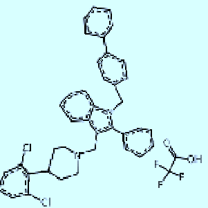 Clc1cccc(Cl)c1C1CCN(Cc2c(-c3ccccc3)n(Cc3ccc(-c4ccccc4)cc3)c3ccccc23)CC1.O=C(O)C(F)(F)F